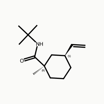 C=C[C@H]1CCC[C@@](C)(C(=O)NC(C)(C)C)C1